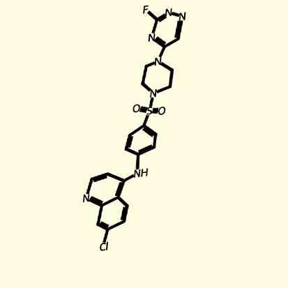 O=S(=O)(c1ccc(Nc2ccnc3cc(Cl)ccc23)cc1)N1CCN(c2cnnc(F)n2)CC1